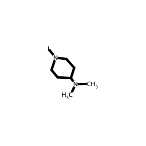 CN(C)C1CCN(I)CC1